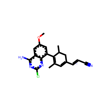 COc1cc(C2=C(C)C=C(/C=C/C#N)CC2C)c2nc(Cl)nc(N)c2c1